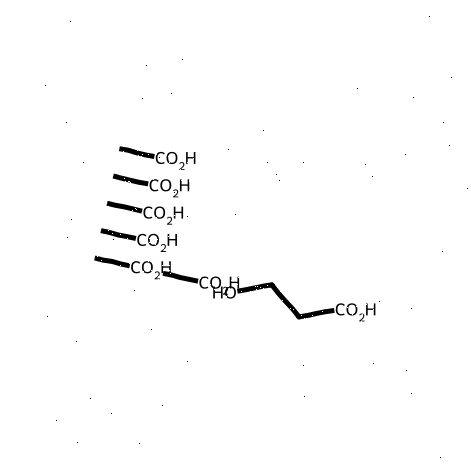 CC(=O)O.CC(=O)O.CC(=O)O.CC(=O)O.CC(=O)O.CC(=O)O.O=C(O)CCO